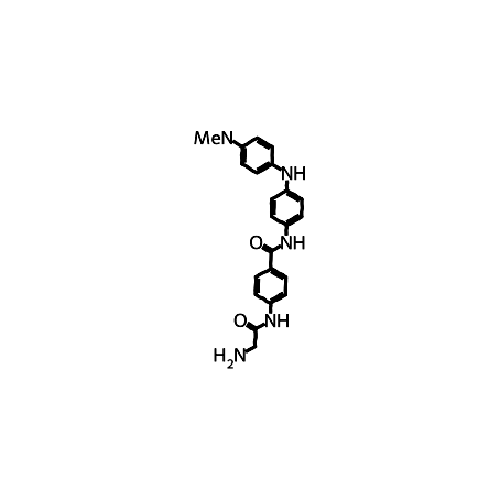 CNc1ccc(Nc2ccc(NC(=O)c3ccc(NC(=O)CN)cc3)cc2)cc1